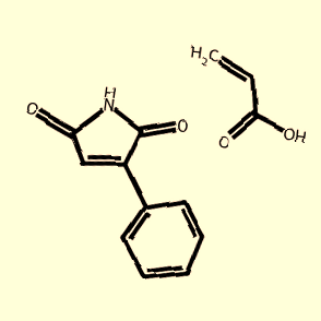 C=CC(=O)O.O=C1C=C(c2ccccc2)C(=O)N1